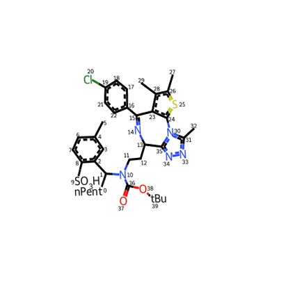 CCCCCC(c1cc(C)ccc1S(=O)(=O)O)N(CCC1N=C(c2ccc(Cl)cc2)c2c(sc(C)c2C)-n2c(C)nnc21)C(=O)OC(C)(C)C